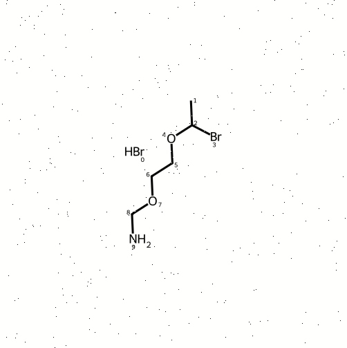 Br.CC(Br)OCCOCN